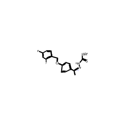 CSC(=S)N/N=C(/C)c1ccc(OCc2ccc(F)cc2F)cc1